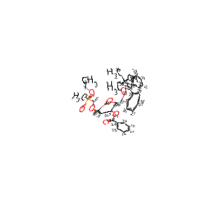 CCOP(C)(=O)CO[C@@H]1CC(OC(=O)c2ccccc2)[C@@H](CO[Si](c2ccccc2)(c2ccccc2)C(C)(C)C)O1